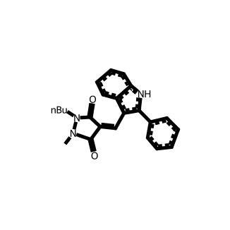 CCCCN1C(=O)/C(=C\c2c(-c3ccccc3)[nH]c3ccccc23)C(=O)N1C